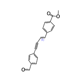 COC(=O)c1ccc(/C=C/C#Cc2ccc(C=O)cc2)cc1